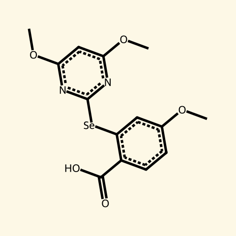 COc1ccc(C(=O)O)c([Se]c2nc(OC)cc(OC)n2)c1